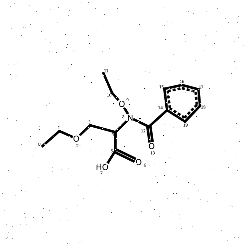 CCOCC(C(=O)O)N(OCC)C(=O)c1ccccc1